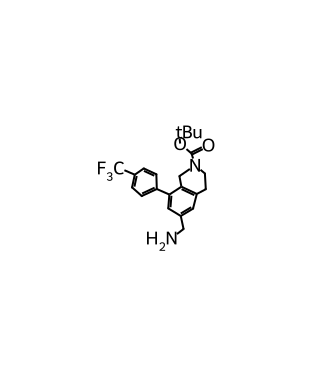 CC(C)(C)OC(=O)N1CCc2cc(CN)cc(-c3ccc(C(F)(F)F)cc3)c2C1